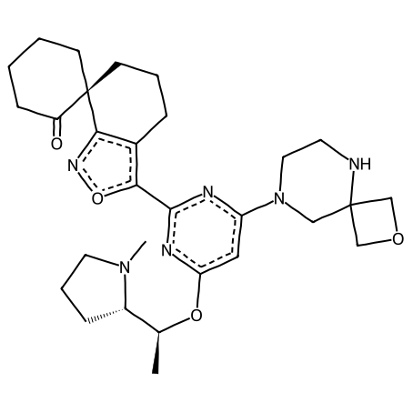 C[C@H](Oc1cc(N2CCNC3(COC3)C2)nc(-c2onc3c2CCC[C@@]32CCCCC2=O)n1)[C@@H]1CCCN1C